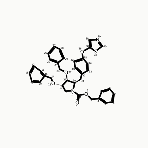 O=C(OCc1ccccc1)N1C[C@H](OCc2ccccc2)[C@@H](OCc2ccccc2)[C@H]1Cc1ccc(Oc2cncs2)cc1